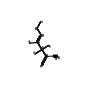 CC/C=C(\C)C(C)(C)C(N)=O